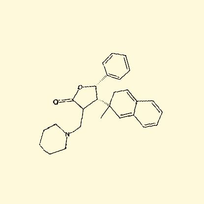 CC1([C@@H]2C(CN3CCCCC3)C(=O)O[C@@H]2c2ccccc2)C=c2ccccc2=CC1